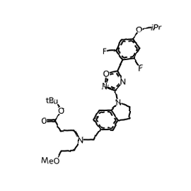 COCCN(CCC(=O)OC(C)(C)C)Cc1ccc2c(c1)CCN2c1noc(-c2c(F)cc(OC(C)C)cc2F)n1